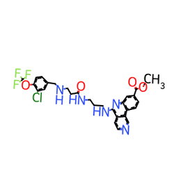 COC(=O)c1ccc2c(c1)nc(NCCCNC(=O)CCNCc1ccc(OC(F)(F)F)c(Cl)c1)c1ccncc12